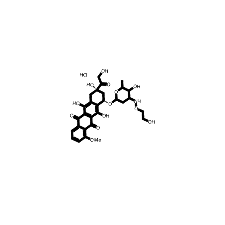 COc1cccc2c1C(=O)c1c(O)c3c(c(O)c1C2=O)C[C@@](O)(C(=O)CO)C[C@@H]3OC1CC(NOCCO)C(O)C(C)O1.Cl